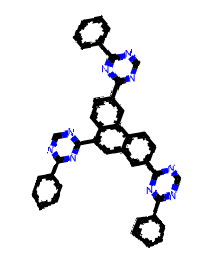 c1ccc(-c2ncnc(-c3ccc4c(c3)cc(-c3ncnc(-c5ccccc5)n3)c3ccc(-c5ncnc(-c6ccccc6)n5)cc34)n2)cc1